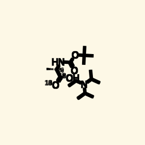 CCN(C(C)C)C(C)C.C[C@H](NC(=O)OC(C)(C)C)C(=[18O])[18OH]